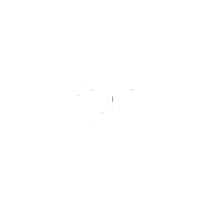 CC(Oc1cc(Cl)cnc1N)c1cccc(NC(=O)c2cccc(C(F)(F)F)c2)c1